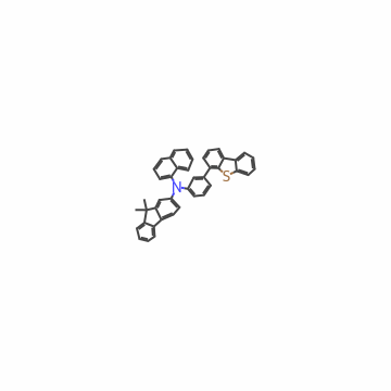 CC1(C)c2ccccc2-c2ccc(N(c3cccc(-c4cccc5c4sc4ccccc45)c3)c3cccc4ccccc34)cc21